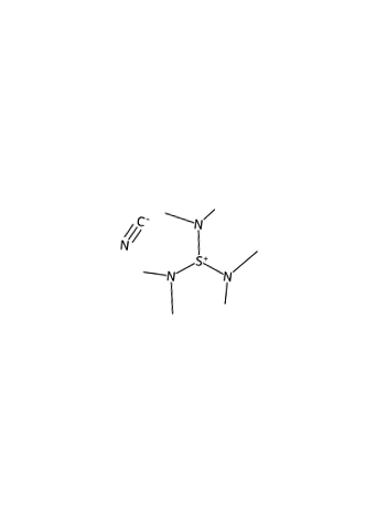 CN(C)[S+](N(C)C)N(C)C.[C-]#N